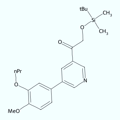 CCCOc1cc(-c2cncc(C(=O)CO[Si](C)(C)C(C)(C)C)c2)ccc1OC